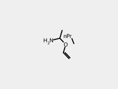 C=COC(C)N.CCCC